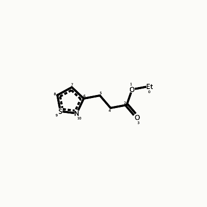 CCOC(=O)CCc1ccsn1